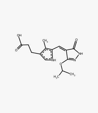 Cc1c(CCC(=O)O)c[nH]c1C=C1C(=O)NN=C1OC(C)C